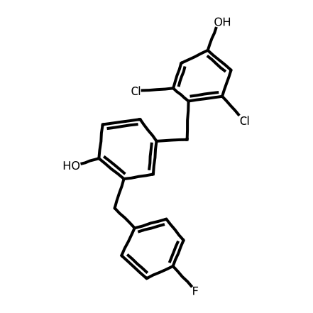 Oc1cc(Cl)c(Cc2ccc(O)c(Cc3ccc(F)cc3)c2)c(Cl)c1